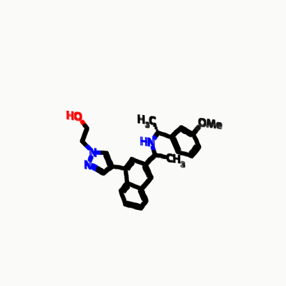 COc1cccc([C@@H](C)NC(C)c2cc(-c3cnn(CCO)c3)c3ccccc3c2)c1